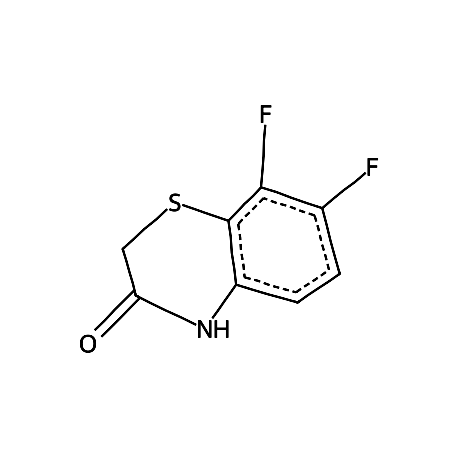 O=C1CSc2c(ccc(F)c2F)N1